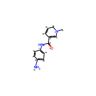 CN1C=C(C(=O)Nc2ccc(N)cc2)C=CC1